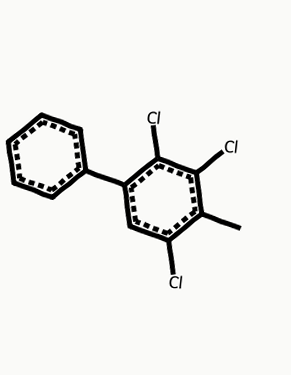 Cc1c(Cl)cc(-c2ccccc2)c(Cl)c1Cl